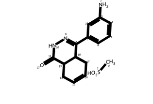 CS(=O)(=O)O.Nc1cccc(C2=NNC(=O)C3CC=CCC23)c1